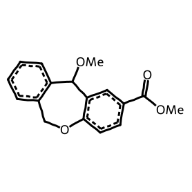 COC(=O)c1ccc2c(c1)C(OC)c1ccccc1CO2